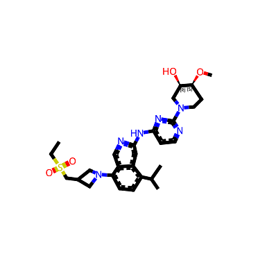 CCS(=O)(=O)CC1CN(c2ccc(C(C)C)c3cc(Nc4ccnc(N5CC[C@H](OC)[C@H](O)C5)n4)ncc23)C1